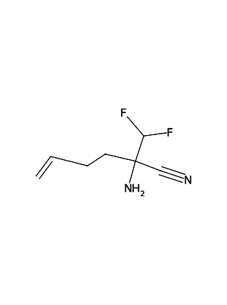 C=CCCC(N)(C#N)C(F)F